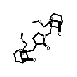 COC[C@@]1(CC2CCN(C[C@]3(COC)C(=O)C4CCN3CC4)C2=O)C(=O)C2CCN1CC2